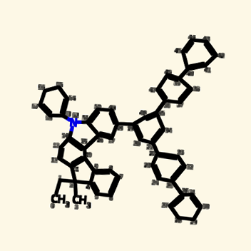 CCC1(C)c2ccccc2-c2c1ccc1c2c2cc(-c3cc(-c4ccc(C5=CCCC=C5)cc4)cc(-c4ccc(-c5ccccc5)cc4)c3)ccc2n1C1=CCCC=C1